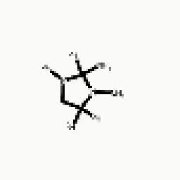 [2H]N1CC([2H])([2H])N(C)C1([2H])N